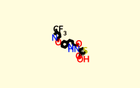 O=C(N[C@H]1CSC[C@H]1OO)c1ccc2cc(Oc3ccc(C(F)(F)F)cn3)ccc2n1